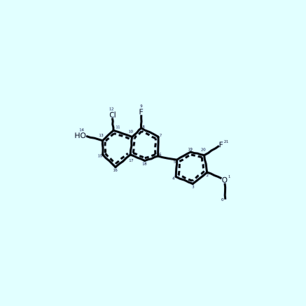 COc1ccc(-c2cc(F)c3c(Cl)c(O)ccc3c2)cc1F